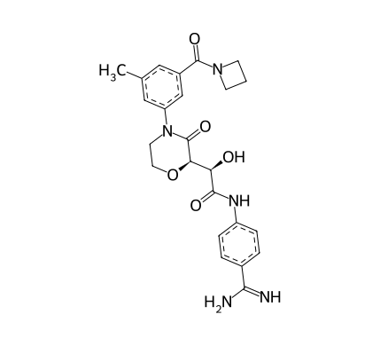 Cc1cc(C(=O)N2CCC2)cc(N2CCO[C@H]([C@@H](O)C(=O)Nc3ccc(C(=N)N)cc3)C2=O)c1